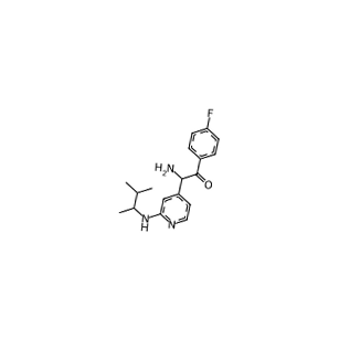 CC(C)C(C)Nc1cc(C(N)C(=O)c2ccc(F)cc2)ccn1